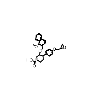 COc1c(COC2CN(C(=O)O)CCC2c2ccc(OCC3CO3)cc2)ccc2ccccc12